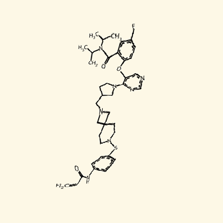 C=CC(=O)Nc1ccc(SN2CCC3(CC2)CN(CC2CCN(c4ncncc4Oc4ccc(F)cc4C(=O)N(C(C)C)C(C)C)C2)C3)cc1